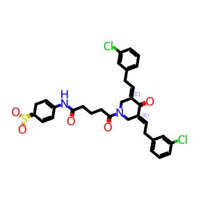 O=C(CCCC(=O)N1C/C(=C\Cc2cccc(Cl)c2)C(=O)/C(=C/Cc2cccc(Cl)c2)C1)NC1=CCC(=S(=O)=O)C=C1